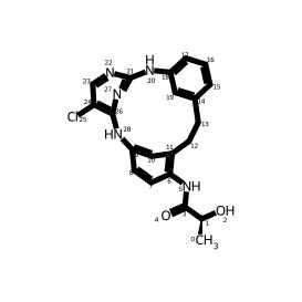 C[C@H](O)C(=O)Nc1ccc2cc1CCc1cccc(c1)Nc1ncc(Cl)c(n1)N2